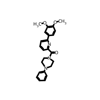 COc1ccc(-c2cccc(C(=O)N3CCN(c4ccccc4)CC3)n2)cc1OC